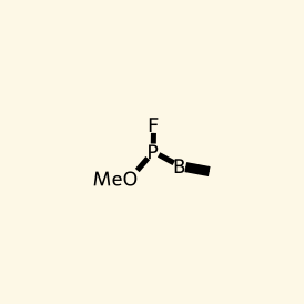 C=BP(F)OC